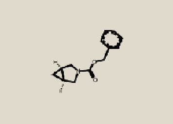 O=C(OCc1ccccc1)N1C[C@H]2[CH][C@H]2C1